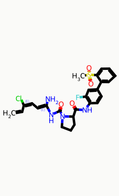 C=C/C(Cl)=C\C=C(/N)NC(=O)N1CCCC1C(=O)Nc1ccc(-c2ccccc2S(C)(=O)=O)cc1F